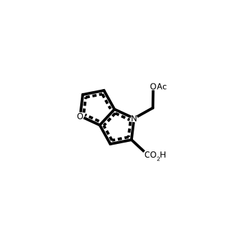 CC(=O)OCn1c(C(=O)O)cc2occc21